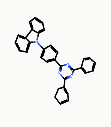 C1=CCCC(c2nc(-c3ccccc3)nc(-c3ccc(-n4c5ccccc5c5ccccc54)cc3)n2)=C1